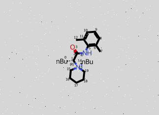 CCCC[C@H](C(=O)Nc1c(C)cccc1C)[N+]1(CCCC)CCCCC1